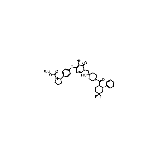 CC(C)(C)OC(=O)N1CCCC1c1ccc(Oc2ncn(CC3(O)CCN(C(=O)[C@@H]4CCC(F)(F)C[C@H]4c4ccccc4)CC3)c(=O)c2N)cc1